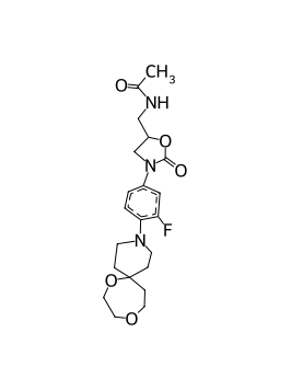 CC(=O)NCC1CN(c2ccc(N3CCC4(CCOCCO4)CC3)c(F)c2)C(=O)O1